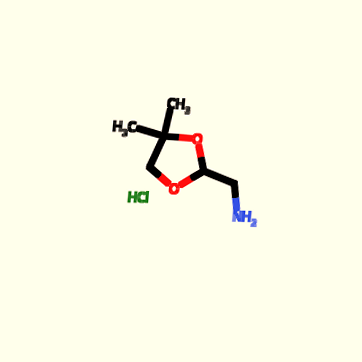 CC1(C)COC(CN)O1.Cl